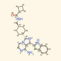 Nc1nccn2c1c(-c1cc3ccccc3[nH]1)nc2[C@H]1CC[C@H](CNC(=O)C2CCC2)CC1